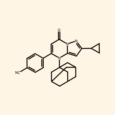 N#Cc1ccc(-c2cc(=O)n3nc(C4CC4)cc3n2C23CC4CC(CC(C4)C2)C3)cc1